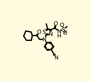 Cc1sc(N(CC(=O)C2CCCCC2)c2ccc(C#N)cc2)nc1C(=O)NS(C)(=O)=O